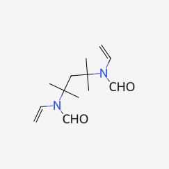 C=CN(C=O)C(C)(C)CC(C)(C)N(C=C)C=O